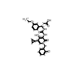 CCOc1cccc([C@H](CC(=O)O)NC(=O)Nc2c(O)c(C3CC3)cn(Cc3ccccc3Cl)c2=O)c1